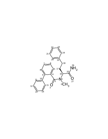 CN(C(=O)c1ccccc1-c1ccccc1)[C@@H](CCc1ccccc1)C(N)=O